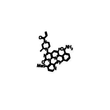 C=CC(=O)N1CCN(c2nc(=O)n(-c3c(SC)ccnc3C(C)C)c3nc(-c4c(F)cccc4C(N)=O)c(F)cc23)[C@@H](C)C1